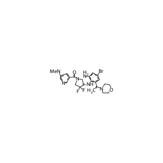 C=C(c1cc(Br)cc(N)c1N[C@H]1CN(C(=O)c2cncc(NC)c2)CC1(F)F)N1CCOCC1